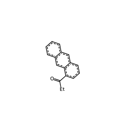 CCC(=O)c1cccc2cc3ccccc3cc12